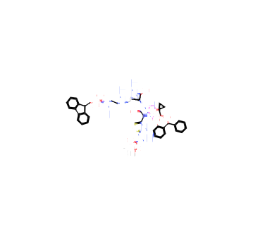 CC(C)(C)OC(=O)Nc1nc(/C(=N/OC2(C(=O)OC(c3ccccc3)c3ccccc3)CC2)C(=O)N[C@@H]2C(=O)N[C@@H]2CNCCNC(=O)OCC2c3ccccc3-c3ccccc32)cs1